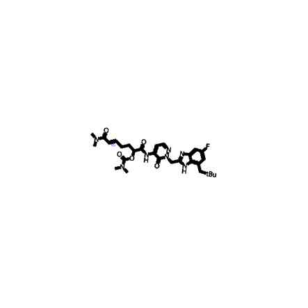 CN(C)C(=O)/C=C/CCC(OC(=O)N(C)C)C(=O)Nc1ccnn(Cc2nc3cc(F)cc(CC(C)(C)C)c3[nH]2)c1=O